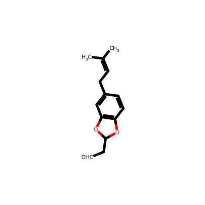 CC(C)=CCc1ccc2c(c1)OC(CC=O)O2